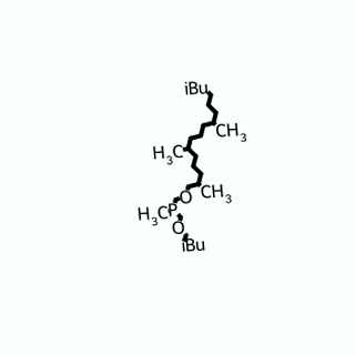 CCC(C)CCCC(C)CCCC(C)CCCC(C)COCP(C)COCC(C)CC